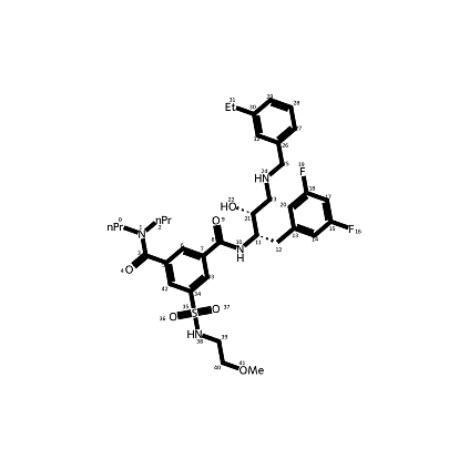 CCCN(CCC)C(=O)c1cc(C(=O)N[C@@H](Cc2cc(F)cc(F)c2)[C@H](O)CNCc2cccc(CC)c2)cc(S(=O)(=O)NCCOC)c1